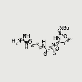 CC(C)C[C@H](NC(=O)OC(C)(C)C)c1nc(C(=O)NCCCONC(=N)N)co1